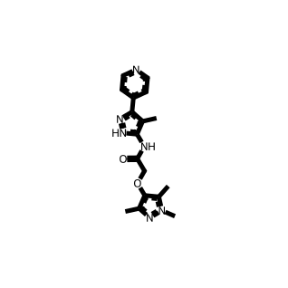 Cc1nn(C)c(C)c1OCC(=O)Nc1[nH]nc(-c2ccncc2)c1C